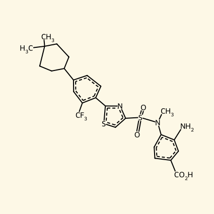 CN(c1ccc(C(=O)O)cc1N)S(=O)(=O)c1csc(-c2ccc(C3CCC(C)(C)CC3)cc2C(F)(F)F)n1